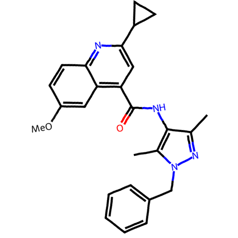 COc1ccc2nc(C3CC3)cc(C(=O)Nc3c(C)nn(Cc4ccccc4)c3C)c2c1